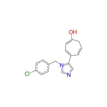 OC1=CC=C(c2cncn2Cc2ccc(Cl)cc2)C=CC1